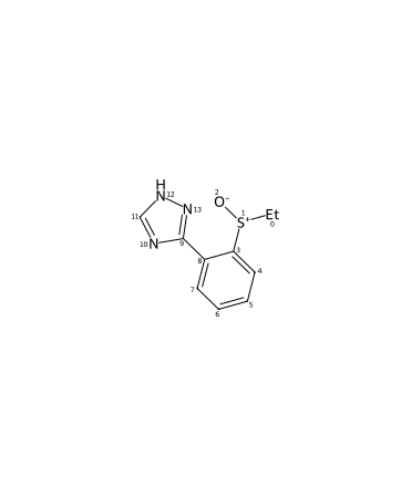 CC[S+]([O-])c1ccccc1-c1nc[nH]n1